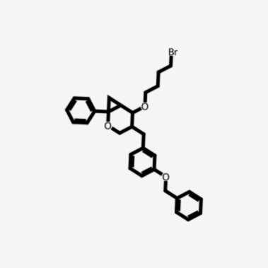 BrCCCCOC1C(Cc2cccc(OCc3ccccc3)c2)COC2(c3ccccc3)CC12